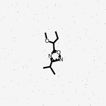 CCC(OC)c1nc(C(C)C)no1